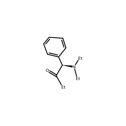 CCC(=O)[C@@H](c1ccccc1)N(CC)CC